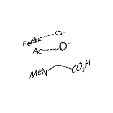 CC(=O)[O-].CC(=O)[O-].CNCC(=O)O.[Fe+2]